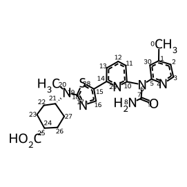 Cc1ccnc(N(C(N)=O)c2cccc(-c3cnc(N(C)[C@H]4CC[C@@H](C(=O)O)CC4)s3)n2)c1